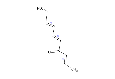 C/C=C/C(=O)/C=C/C=C/CC